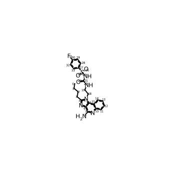 CCCCc1nc2c(N)nc3ccccc3c2n1CCNC(=O)NS(=O)(=O)c1ccc(F)cc1